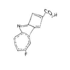 O=C(O)C1=CC2=Nc3ccc(F)cc3C2=C1